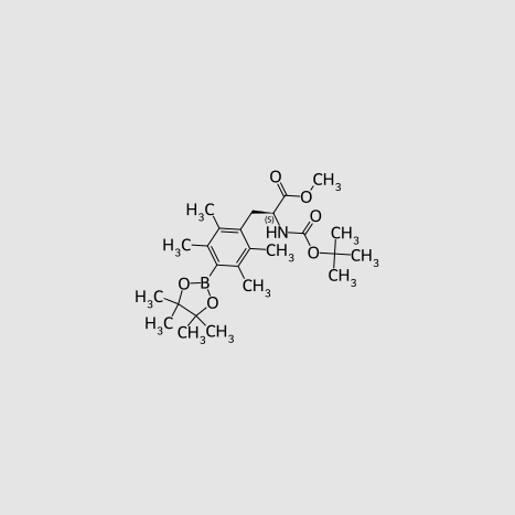 COC(=O)[C@H](Cc1c(C)c(C)c(B2OC(C)(C)C(C)(C)O2)c(C)c1C)NC(=O)OC(C)(C)C